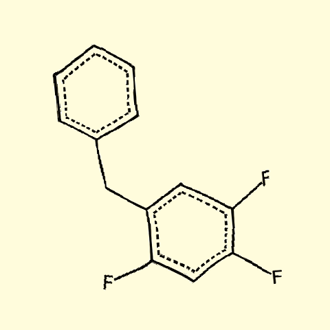 Fc1cc(F)c(Cc2ccccc2)cc1F